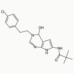 CC(C)(C)C(=O)Nc1cc2c([nH]1)N=CN(CCc1ccc(Cl)cc1)C2O